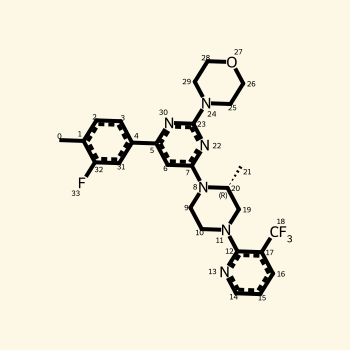 Cc1ccc(-c2cc(N3CCN(c4ncccc4C(F)(F)F)C[C@H]3C)nc(N3CCOCC3)n2)cc1F